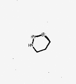 [B]1CCCNN1